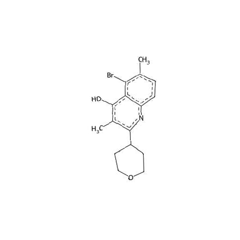 Cc1ccc2nc(C3CCOCC3)c(C)c(O)c2c1Br